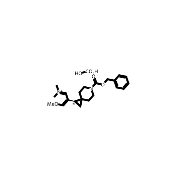 COC=C(C=[N+](C)C)[C@@H]1CC12CCN(C(=O)OCc1ccccc1)CC2.O=C(O)O